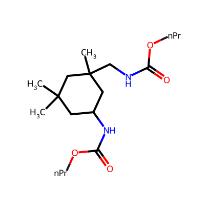 CCCOC(=O)NCC1(C)CC(NC(=O)OCCC)CC(C)(C)C1